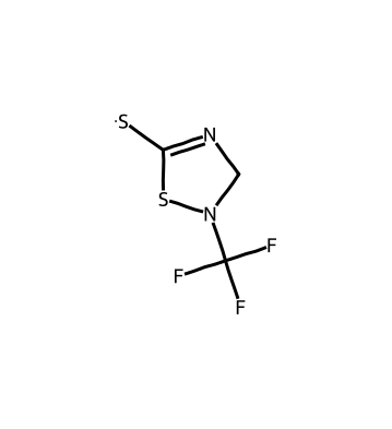 FC(F)(F)N1CN=C([S])S1